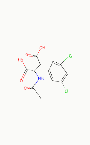 CC(=O)NC(CC(=O)O)C(=O)O.Clc1cccc(Cl)c1